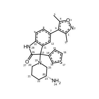 Cc1noc(C)c1-c1ccc2c(c1)C(c1ccsc1)(N1CCC[C@@H](N)C1)C(=O)N2